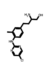 Cc1cc(CCC(N)CO)ccc1Nc1ncc(Cl)cn1